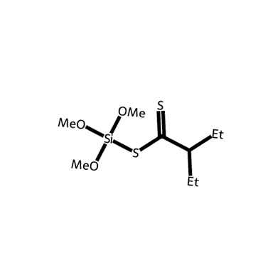 CCC(CC)C(=S)S[Si](OC)(OC)OC